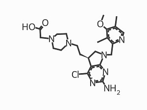 COc1c(C)cnc(CN2C[C@H](CCN3CCN(CC(=O)O)CC3)c3c(Cl)nc(N)nc32)c1C